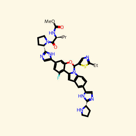 CCc1ncc(C2Oc3cc(-c4cnc([C@@H]5CCCN5C(=O)[C@@H](NC(=O)OC)C(C)C)[nH]4)cc(F)c3-c3cc4cc(-c5cnc([C@@H]6CCCN6)[nH]5)ccc4n32)s1